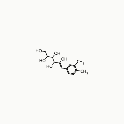 Cc1ccc(C=C(O)C(O)C(O)C(O)CO)cc1C